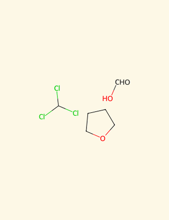 C1CCOC1.ClC(Cl)Cl.O=CO